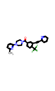 Cc1cccc(N2CCN(C(=O)c3ccc(C(F)(F)F)c(C#Cc4ccccn4)c3)CC2)n1